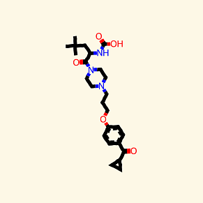 CC(C)(C)CC(NC(=O)O)C(=O)N1CCN(CCCOc2ccc(C(=O)C3CC3)cc2)CC1